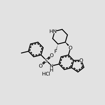 Cc1cccc(S(=O)(=O)Nc2cc(O[C@@H]3CCNC[C@H]3F)c3occc3c2)c1.Cl